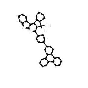 CC1(C)c2ccccc2-c2c1c(-c1ccc(-c3ccc4c5ccccc5c5ccccc5c4c3)cc1)nc1oc3ccccc3c21